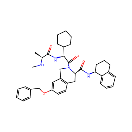 CN[C@@H](C)C(=O)N[C@H](C(=O)N1Cc2cc(OCc3ccccc3)ccc2C[C@@H]1C(=O)N[C@H]1CCCc2ccccc21)C1CCCCC1